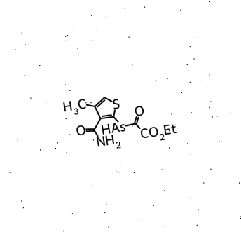 CCOC(=O)C(=O)[AsH]c1scc(C)c1C(N)=O